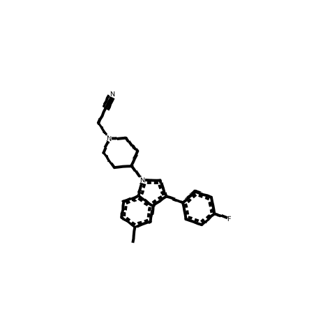 Cc1ccc2c(c1)c(-c1ccc(F)cc1)cn2C1CCN(CC#N)CC1